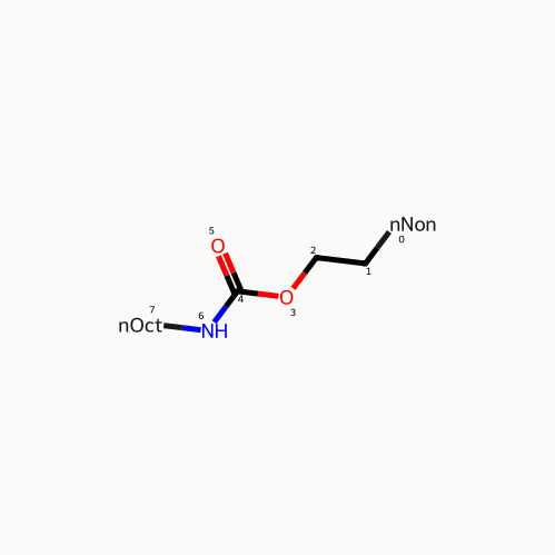 CCCCCCCCCCCOC(=O)NCCCCCCCC